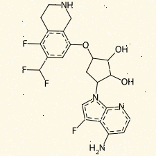 Nc1ccnc2c1c(F)cn2C1CC(Oc2cc(C(F)F)c(F)c3c2CNCC3)C(O)C1O